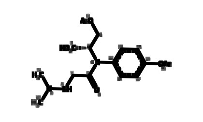 CC(=O)OC[C@@H](C(=O)O)N(C(=O)CNN(C)C)c1ccc(OC(C)=O)cc1